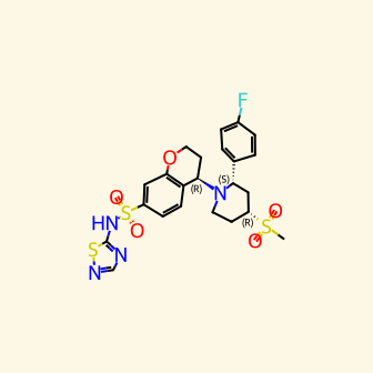 CS(=O)(=O)[C@@H]1CCN([C@@H]2CCOc3cc(S(=O)(=O)Nc4ncns4)ccc32)[C@H](c2ccc(F)cc2)C1